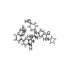 O=C(NC1CCCC1)c1ccc2c(c1)nc(Nc1n[nH]c3ccc(-c4ccccc4OC(F)(F)F)cc13)n2[C@H]1CC[C@H](O)CC1